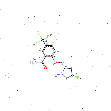 CN1C[C@H](F)C[C@H]1COc1ccc(C(F)(F)F)cc1C(N)=O